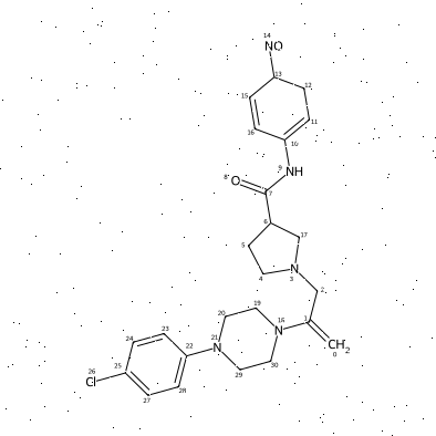 C=C(CN1CCC(C(=O)NC2=CCC(N=O)C=C2)C1)N1CCN(c2ccc(Cl)cc2)CC1